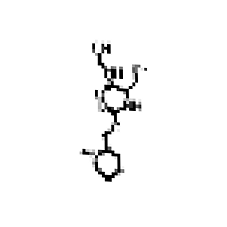 CC(C)C[C@@H](NC(=O)OCC1CCCCN1C)C(=O)NCC#N